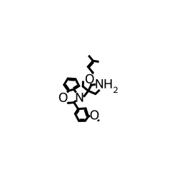 CCC(CC)(CN1c2ccccc2OCC1c1cccc(OC)c1)C(N)OCC=C(C)C